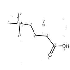 C[N+](C)(C)CCCC(=O)O.[I-]